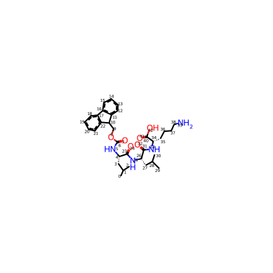 CC(C)C[C@H](NC(=O)OCC1c2ccccc2-c2ccccc21)C(=O)N[C@@H](CC(C)C)C(=O)N[C@@H](CCCCN)C(=O)O